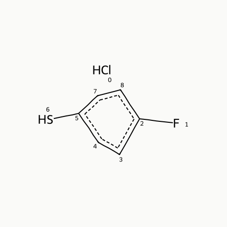 Cl.Fc1ccc(S)cc1